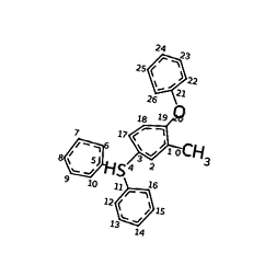 Cc1cc([SH](c2ccccc2)c2ccccc2)ccc1Oc1ccccc1